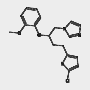 COc1ccccc1OC(CCc1ccc(Cl)s1)Cn1ccnc1